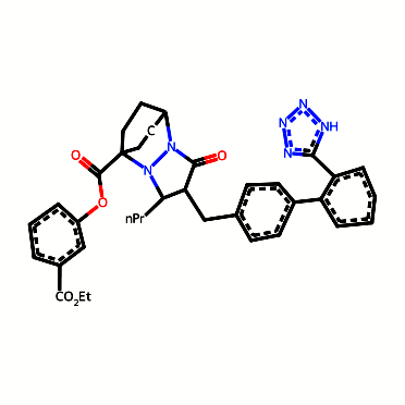 CCCC1C(Cc2ccc(-c3ccccc3-c3nnn[nH]3)cc2)C(=O)N2C3CCC(C(=O)Oc4cccc(C(=O)OCC)c4)(CC3)N12